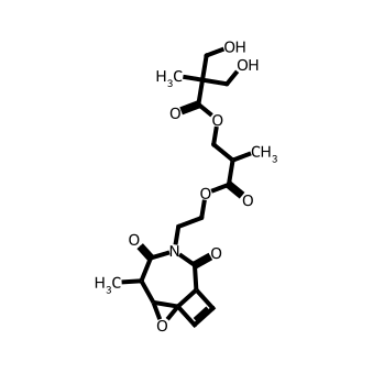 CC(COC(=O)C(C)(CO)CO)C(=O)OCCN1C(=O)C(C)C2OC23C=CC3C1=O